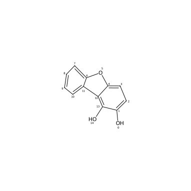 Oc1ccc2oc3ccccc3c2c1O